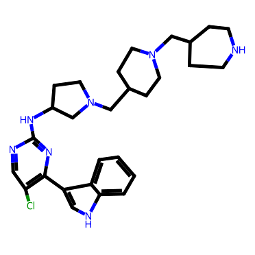 Clc1cnc(NC2CCN(CC3CCN(CC4CCNCC4)CC3)C2)nc1-c1c[nH]c2ccccc12